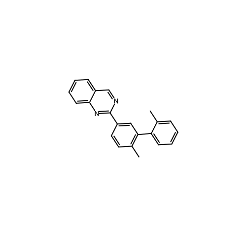 Cc1ccccc1-c1cc(-c2ncc3ccccc3n2)ccc1C